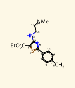 CCOC(=O)c1sc(-c2ccc(C)cc2)nc1NCCNC